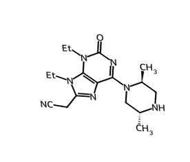 CCn1c(CC#N)nc2c(N3C[C@@H](C)NC[C@@H]3C)nc(=O)n(CC)c21